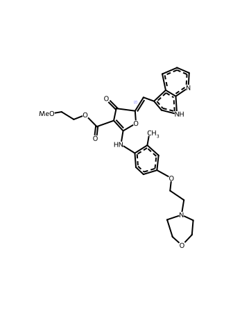 COCCOC(=O)C1=C(Nc2ccc(OCCN3CCOCC3)cc2C)O/C(=C\c2c[nH]c3ncccc23)C1=O